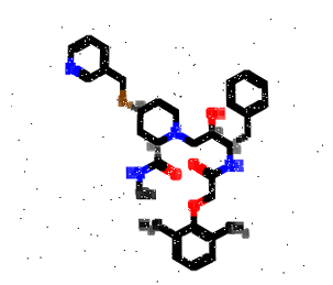 Cc1cccc(C)c1OCC(=O)N[C@@H](Cc1ccccc1)[C@H](O)CN1CC[C@@H](SCc2cccnc2)C[C@H]1C(=O)NC(C)(C)C